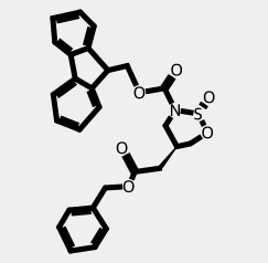 O=C(C[C@@H]1COS(=O)N(C(=O)OCC2c3ccccc3-c3ccccc32)C1)OCc1ccccc1